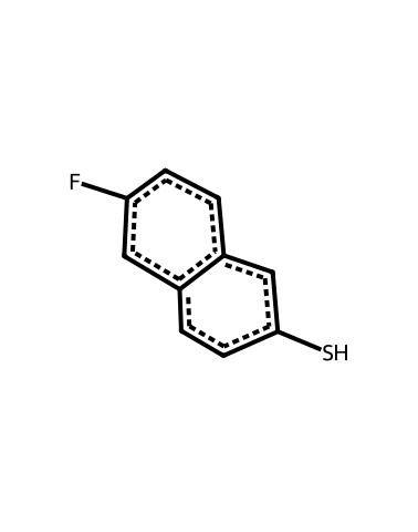 Fc1ccc2cc(S)ccc2c1